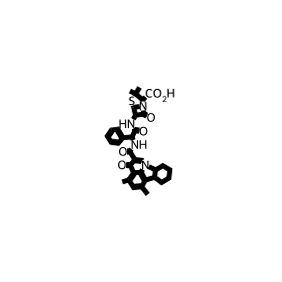 Cc1cc(C)c2c(=O)c(C(=O)NC(C(=O)NC3C(=O)N4C3SC(C)(C)C4C(=O)O)c3ccccc3)cn3c2c1C1CCCCC13